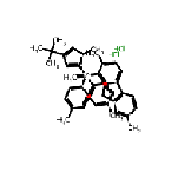 Cl.Cl.[CH2]=[Zr]([C]1=CC(C(C)(C)C)=CC1C)([c]1ccc(C)cc1)([c]1ccc(C)cc1)[c]1c(C)ccc2c1Cc1cc(C)ccc1-2